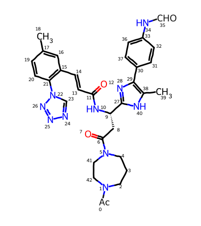 CC(=O)N1CCCN(C(=O)C[C@H](NC(=O)/C=C/c2cc(C)ccc2-n2cnnn2)c2nc(-c3ccc(NC=O)cc3)c(C)[nH]2)CC1